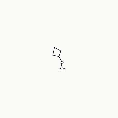 CCCOC1CCC1